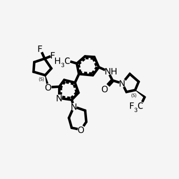 Cc1ccc(NC(=O)N2CC[C@@H](CC(F)(F)F)C2)cc1-c1cc(O[C@H]2CCC(F)(F)C2)nc(N2CCOCC2)c1